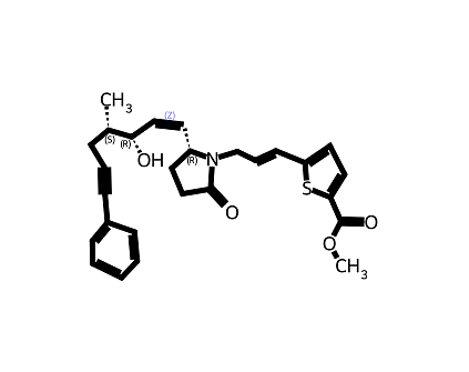 COC(=O)c1ccc(C=CCN2C(=O)CC[C@@H]2/C=C\[C@H](O)[C@@H](C)CC#Cc2ccccc2)s1